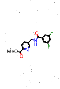 COC(=O)c1ccc(CNC(=O)c2cc(F)cc(F)c2)cn1